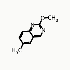 COc1ncc2cc(C)ccc2n1